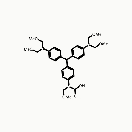 COCN(COC)c1ccc(C(c2ccc(N(COC)COC)cc2)c2ccc(N(COC)C(C)O)cc2)cc1